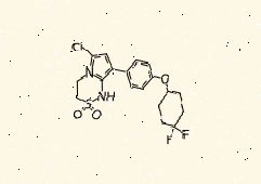 O=S1(=O)CCn2c(Cl)cc(-c3ccc(OC4CCC(F)(F)CC4)cc3)c2N1